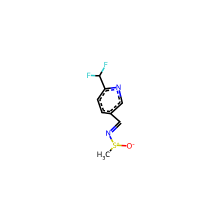 C[S+]([O-])/N=C/c1ccc(C(F)F)nc1